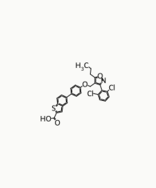 CCCc1onc(-c2c(Cl)cccc2Cl)c1COc1ccc(-c2ccc3sc(C(=O)O)cc3c2)cc1